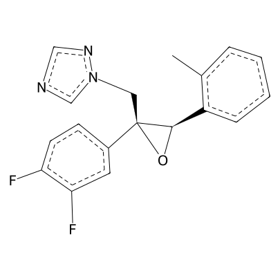 Cc1ccccc1[C@H]1O[C@]1(Cn1cncn1)c1ccc(F)c(F)c1